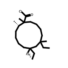 CCC1(C)CCCCC(C)(C(=O)Cl)[C@@H](C)CCCCC(P)(CC)C1